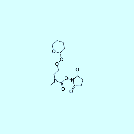 CP(CCOOC1CCCCO1)C(=O)ON1C(=O)CCC1=O